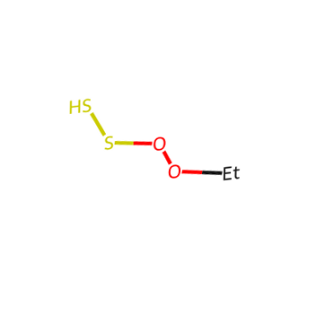 CCOOSS